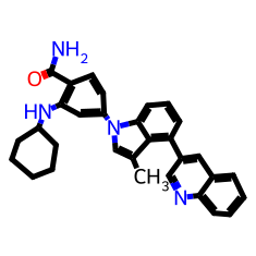 Cc1cn(-c2ccc(C(N)=O)c(NC3CCCCC3)c2)c2cccc(-c3cnc4ccccc4c3)c12